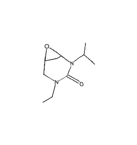 CCN1CC2OC2N(C(C)C)C1=O